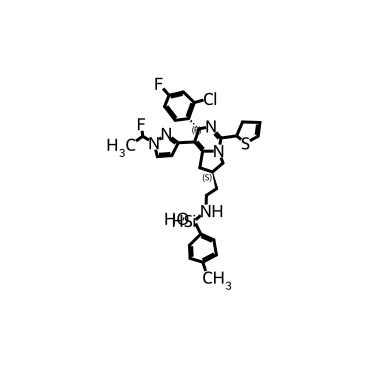 Cc1ccc([SiH](O)NCC[C@H]2CC3=C(c4ccn(C(C)F)n4)[C@H](c4ccc(F)cc4Cl)N=C(C4CC=CS4)N3C2)cc1